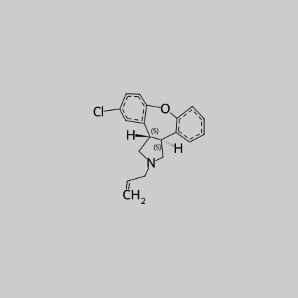 C=CCN1C[C@@H]2c3ccccc3Oc3ccc(Cl)cc3[C@H]2C1